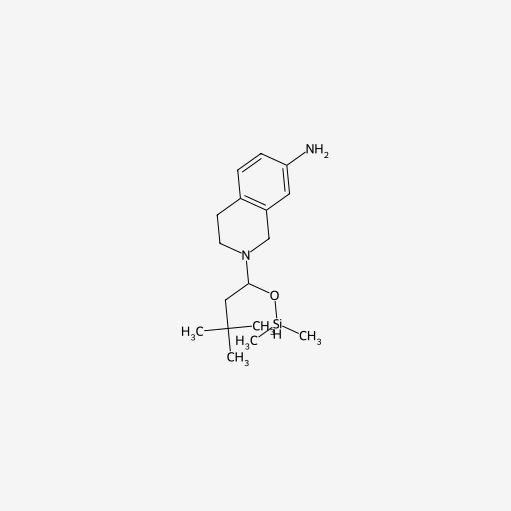 C[SiH](C)OC(CC(C)(C)C)N1CCc2ccc(N)cc2C1